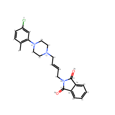 Cc1ccc(Cl)cc1N1CCN(CC=CCN2C(=O)c3ccccc3C2=O)CC1